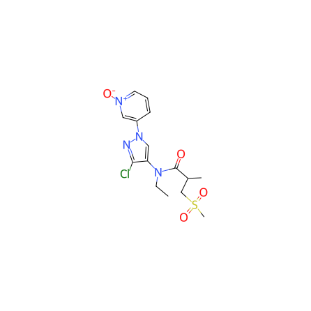 CCN(C(=O)C(C)CS(C)(=O)=O)c1cn(-c2ccc[n+]([O-])c2)nc1Cl